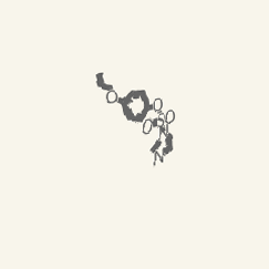 C=CCOc1ccc(OS(=O)(=O)n2ccnc2)cc1